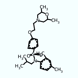 Cc1ccc(N(CC(C)C)S(=O)(=O)c2ccc(OCCN3CC(C)OC(C)C3)cc2)c(C)c1